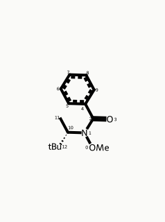 CON(C(=O)c1ccccc1)[C@@H](C)C(C)(C)C